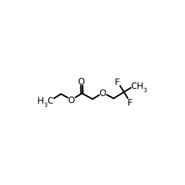 CCOC(=O)COCC(C)(F)F